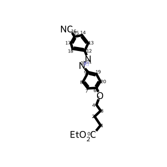 CCOC(=O)CCCCOc1ccc(/N=N/c2ccc(C#N)cc2)cc1